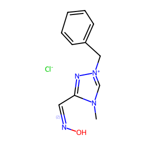 Cn1c[n+](Cc2ccccc2)nc1/C=N\O.[Cl-]